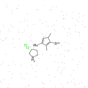 C1CC[SiH2]C1.CC1=[C]([Zr+2])C(C)C=C1C(C)(C)C.[Cl-].[Cl-]